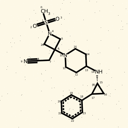 CS(=O)(=O)N1CC(CC#N)(N2CCC(N[C@@H]3CC3c3ccccc3)CC2)C1